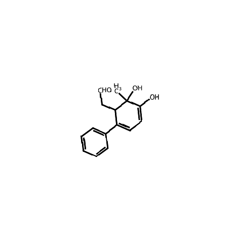 CC1(O)C(O)=CC=C(c2ccccc2)C1CC=O